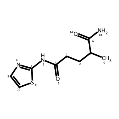 CC(C[CH]C(=O)Nc1nccs1)C(N)=O